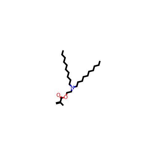 C=C(C)C(=O)OCCN(CCCCCCCCCC)CCCCCCCCCC